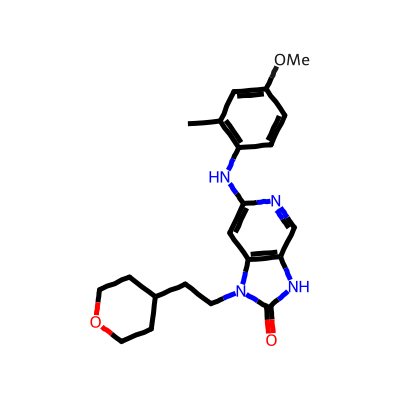 COc1ccc(Nc2cc3c(cn2)[nH]c(=O)n3CCC2CCOCC2)c(C)c1